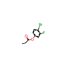 CCC(=O)Oc1ccc(Br)c(F)c1